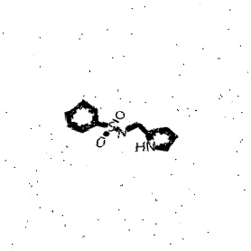 O=S(=O)(/N=C/c1ccc[nH]1)c1ccccc1